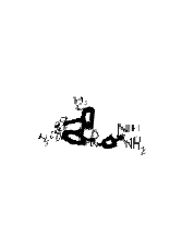 Cc1cccc(-c2ccccc2C(=O)Nc2ccc(C(=N)N)cc2)c1C(=O)OS(C)(=O)=O